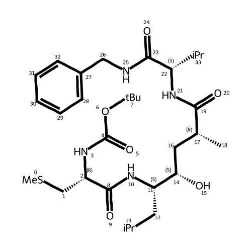 CSC[C@H](NC(=O)OC(C)(C)C)C(=O)N[C@@H](CC(C)C)[C@@H](O)C[C@@H](C)C(=O)N[C@H](C(=O)NCc1ccccc1)C(C)C